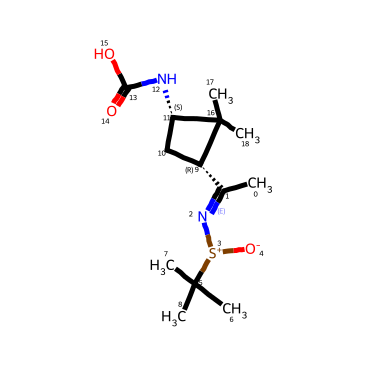 C/C(=N\[S+]([O-])C(C)(C)C)[C@@H]1C[C@H](NC(=O)O)C1(C)C